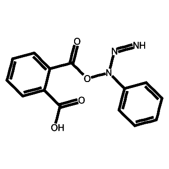 N=NN(OC(=O)c1ccccc1C(=O)O)c1ccccc1